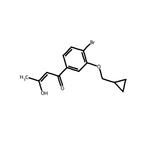 C/C(O)=C/C(=O)c1ccc(Br)c(OCC2CC2)c1